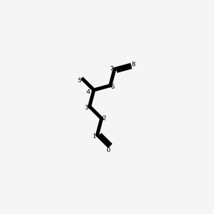 C=CCC[C](C)CC=C